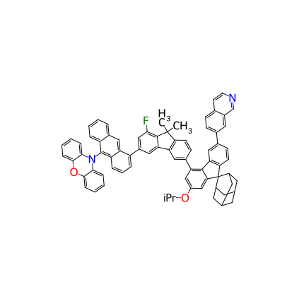 CC(C)Oc1cc(-c2ccc3c(c2)-c2cc(-c4cccc5c(N6c7ccccc7Oc7ccccc76)c6ccccc6cc45)cc(F)c2C3(C)C)c2c(c1)C1(c3ccc(-c4ccc5ccncc5c4)cc3-2)C2CC3CC(C2)CC1C3